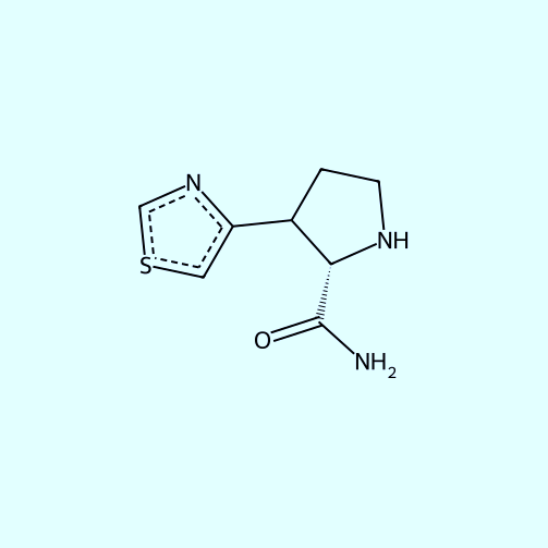 NC(=O)[C@H]1NCCC1c1cscn1